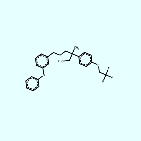 CCC(C)(COCc1cccc(Oc2ccccc2)c1)c1ccc(OCC(F)(F)F)cc1